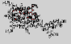 CC(C)C[C@H](NC(=O)[C@H](CCCCN)NC(=O)[C@H](CO)NC(=O)[C@@H](N)CCCCN)C(=O)N[C@@H](C)C(=O)N[C@@H](CC(=O)O)C(=O)N[C@H](C(=O)N[C@H](C(=O)N[C@H](C(=O)N[C@H](C(=O)N[C@@H](CO)C(=O)N[C@@H](CC(C)C)C(=O)N1CCC[C@H]1C(=O)NCC(=O)NCC(=O)N[C@@H](CCC(=O)O)C(=O)N[C@@H](CCC(=O)O)C(=O)O)C(C)C)[C@@H](C)O)C(C)C)C(C)C